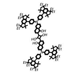 CCC1(CC)CC(C)(C)c2c1cc1c(c2-c2ccc(N(c3ccc(-c4c5c(cc6c4C(C)(C)CC6(CC)CC)C(CC)(CC)CC5(C)C)cc3)c3ccc4c(O)c(C5C(O)C(c6ccc7cc(N(c8ccc(-c9c%10c(cc%11c9C(C)(C)CC%11(CC)CC)C(CC)(CC)CC%10(C)C)cc8)c8ccc(-c9c%10c(cc%11c9C(C)(C)CC%11(CC)CC)C(CC)(CC)CC%10(C)C)cc8)ccc7c6O)C5O)ccc4c3)cc2)C(C)(C)CC1(CC)CC